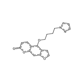 O=c1ccc2c(OCCCCn3cccn3)c3ccoc3cc2o1